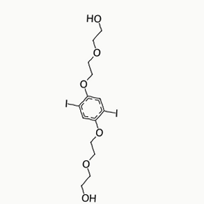 OCCOCCOc1cc(I)c(OCCOCCO)cc1I